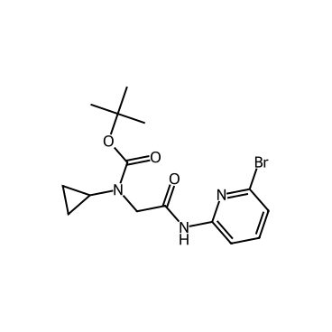 CC(C)(C)OC(=O)N(CC(=O)Nc1cccc(Br)n1)C1CC1